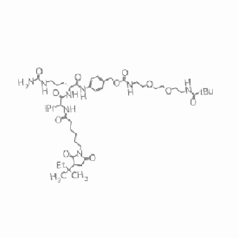 CCC(C)(C)C1CC(=O)N(CCCCCC(=O)NC(C(=O)N[C@H](CCCNC(N)=O)C(=O)Nc2ccc(COC(=O)NCCOCCOCCNC(=O)C(C)(C)C)cc2)C(C)C)C1=O